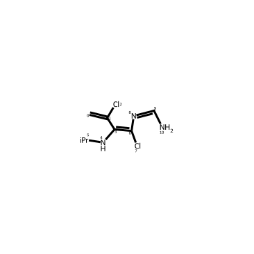 C=C(Cl)/C(NC(C)C)=C(Cl)\N=C/N